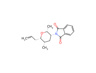 C=CC[C@@H]1O[C@H](C)[C@H](N2C(=O)c3ccccc3C2=O)C[C@@H]1C